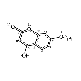 CCCOc1ccc2c(O)cc(=O)oc2c1